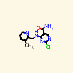 Cc1cccnc1CNc1nc(Cl)ncc1C(N)=O